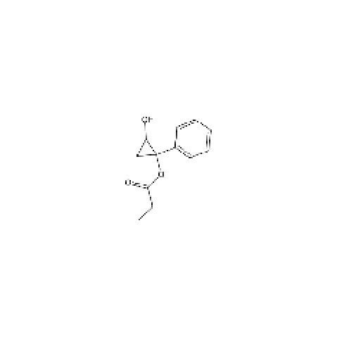 CCC(=O)OC1(c2ccccc2)CC1O